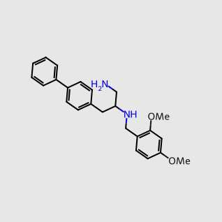 COc1ccc(CNC(CN)Cc2ccc(-c3ccccc3)cc2)c(OC)c1